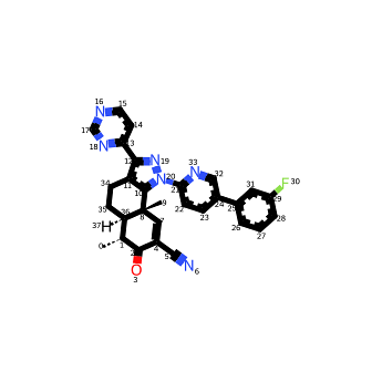 C[C@H]1C(=O)C(C#N)=C[C@@]2(C)c3c(c(-c4ccncn4)nn3-c3ccc(-c4cccc(F)c4)cn3)CC[C@H]12